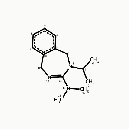 CC(C)N1Cc2ccccc2CN=C1N(C)C